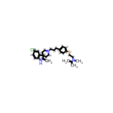 C=C(C)N(C)CCSc1ccc(CCCN2CCC3(CC2)C(=C)Nc2ccc(Cl)cc23)cc1